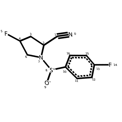 N#CC1CC(F)CN1[S+]([O-])c1ccc(F)cc1